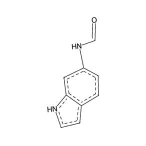 O=CNc1ccc2cc[nH]c2c1